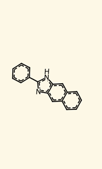 c1ccc(-c2nc3cc4ccccc4cc3[nH]2)cc1